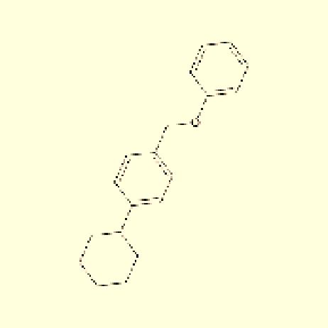 c1ccc(OCc2ccc(C3CCCCC3)cc2)cc1